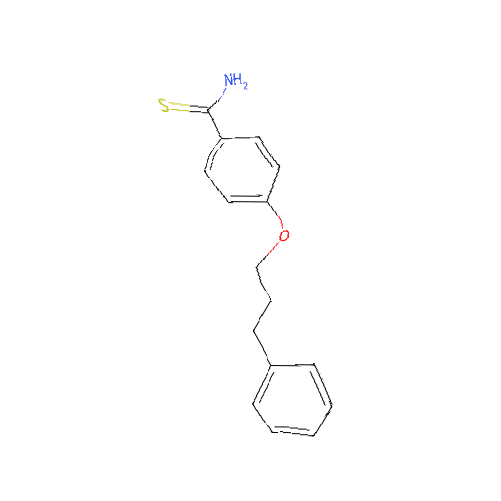 NC(=S)c1ccc(OCCCc2ccccc2)cc1